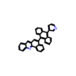 c1cncc(-c2c3ccccc3c(-c3cc4cc5ccccc5nc4c4ccccc34)c3ccccc23)c1